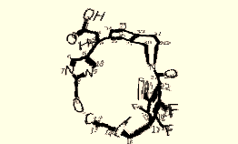 O=C(O)C[C@@H]1c2cnc(nc2)OCCCCCc2c(F)c(F)c(c(F)c2F)C(=O)N2CCc3ccc1cc3C2